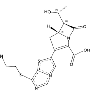 C[C@@H](O)[C@H]1C(=O)N2C(C(=O)O)=C(c3cn4cnc(SCCN)c4s3)C[C@H]12